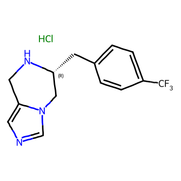 Cl.FC(F)(F)c1ccc(C[C@@H]2Cn3cncc3CN2)cc1